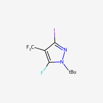 CC(C)(C)n1nc(I)c(C(F)(F)F)c1F